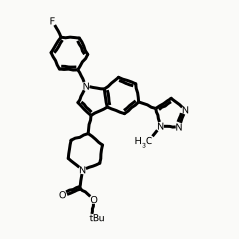 Cn1nncc1-c1ccc2c(c1)c(C1CCN(C(=O)OC(C)(C)C)CC1)cn2-c1ccc(F)cc1